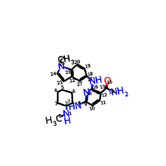 CN[C@H]1CCCCC1Nc1ccc(C(N)=O)c(Nc2ccc3c(ccn3C)c2)n1